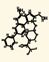 CC(C)C(=O)N1CCC(Cn2c(CO)nc3c(N)nc4cc(-c5cccnc5)ccc4c32)CC1